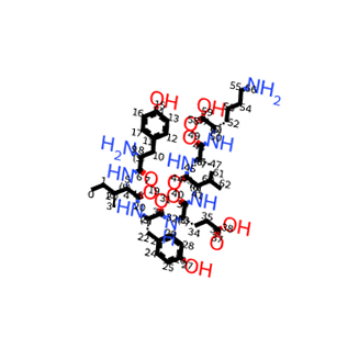 CC[C@H](C)[C@H](NC(=O)[C@@H](N)Cc1ccc(O)cc1)C(=O)N[C@@H](Cc1ccc(O)cc1)C(=O)N[C@@H](CCC(=O)O)C(=O)N[C@H](C(=O)N[C@@H](C)C(=O)N[C@@H](CCCCN)C(=O)O)C(C)C